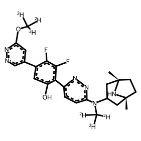 [2H]C([2H])([2H])Oc1cc(-c2cc(O)c(-c3ccc(N(C4C[C@]5(C)CC[C@](C)(C4)N5)C([2H])([2H])[2H])nn3)c(F)c2F)cnn1